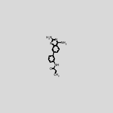 C=CC(=O)Nc1cccc(-c2ccc3c(N)nc(N)nc3c2)c1